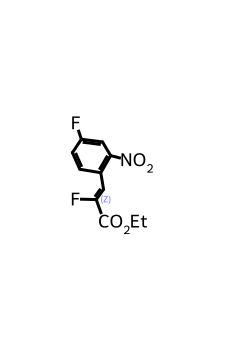 CCOC(=O)/C(F)=C/c1ccc(F)cc1[N+](=O)[O-]